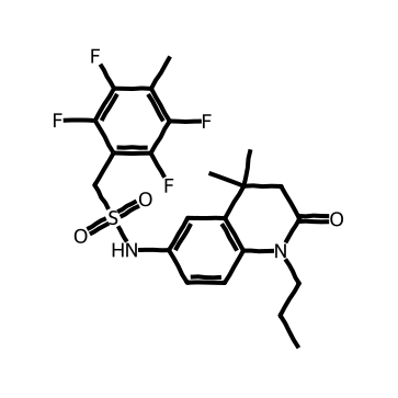 CCCN1C(=O)CC(C)(C)c2cc(NS(=O)(=O)Cc3c(F)c(F)c(C)c(F)c3F)ccc21